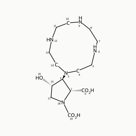 O=C(O)[C@H]1[C@H](N2CCNCCNCCNCC2)[C@@H](O)CN1C(=O)O